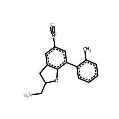 [C-]#[N+]c1cc2c(c(-c3ccccc3C)c1)OC(CN)C2